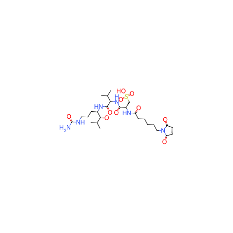 CC(C)C(=O)[C@@H](CCCNC(N)=O)NC(=O)C(NC(=O)[C@@H](CS(=O)(=O)O)NC(=O)CCCCCN1C(=O)C=CC1=O)C(C)C